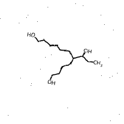 CCC(O)C(CCCCO)CCCCCCO